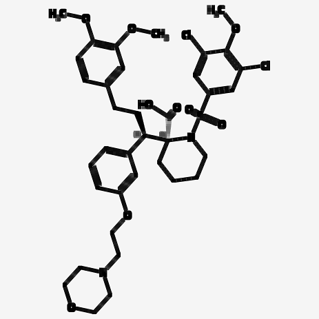 COc1ccc(CC[C@H](c2cccc(OCCN3CCOCC3)c2)[C@]2(C(=O)O)CCCCN2S(=O)(=O)c2cc(Cl)c(OC)c(Cl)c2)cc1OC